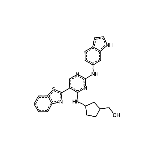 OCC1CCC(Nc2nc(Nc3ccc4cc[nH]c4c3)ncc2-c2nc3ccccc3s2)C1